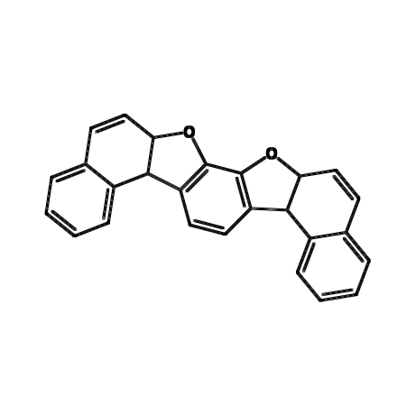 C1=CC2Oc3c(ccc4c3OC3C=Cc5ccccc5C43)C2c2ccccc21